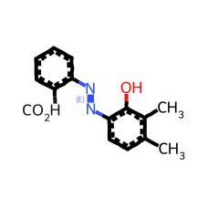 Cc1ccc(/N=N/c2ccccc2C(=O)O)c(O)c1C